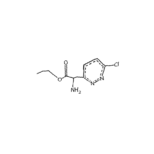 CCOC(=O)C(N)c1ccc(Cl)nn1